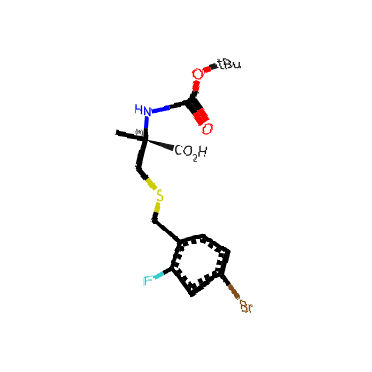 CC(C)(C)OC(=O)N[C@@](C)(CSCc1ccc(Br)cc1F)C(=O)O